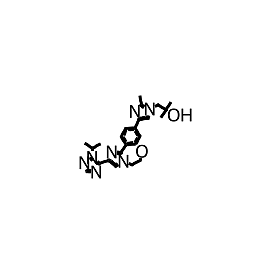 Cc1nc(-c2ccc3c(c2)OCCn2cc(-c4ncnn4C(C)C)nc2-3)cn1CC(C)(C)O